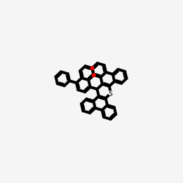 c1ccc(-c2ccc(C3c4c(c5ccccc5c5ccccc45)Sc4c3c3ccccc3c3ccccc43)c3ccccc23)cc1